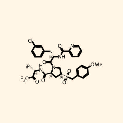 COc1ccc(CS(=O)(=O)[C@@H]2C[C@@H](C(=O)N[C@H](C(=O)C(F)(F)F)C(C)C)N(C(=O)[C@H](Cc3cccc(Cl)c3)NC(=O)c3ccccn3)C2)cc1